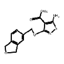 COC(=O)c1c(OCc2ccc3c(c2)COC3)nsc1N